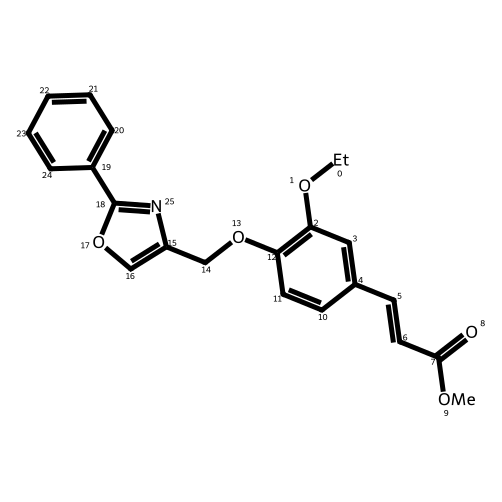 CCOc1cc(C=CC(=O)OC)ccc1OCc1coc(-c2ccccc2)n1